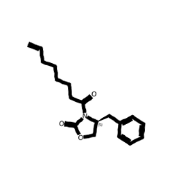 C=CCCCCCC(=O)N1C(=O)OC[C@@H]1Cc1ccccc1